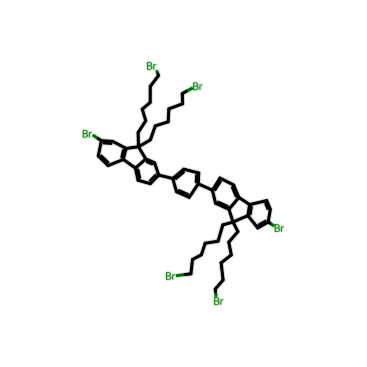 BrCCCCCCC1(CCCCCCBr)c2cc(Br)ccc2-c2ccc(-c3ccc(-c4ccc5c(c4)C(CCCCCCBr)(CCCCCCBr)c4cc(Br)ccc4-5)cc3)cc21